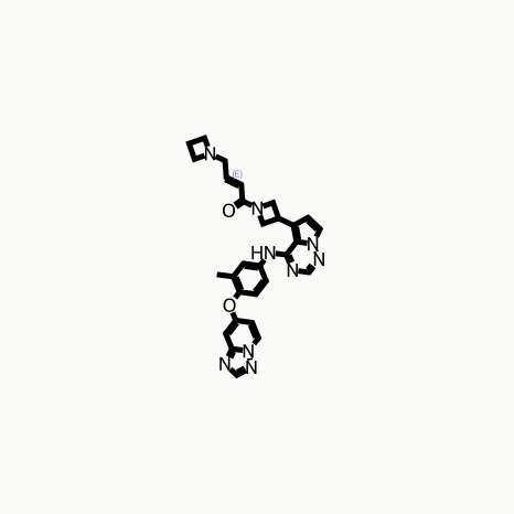 Cc1cc(Nc2ncnn3ccc(C4CN(C(=O)/C=C/CN5CCC5)C4)c23)ccc1Oc1ccn2ncnc2c1